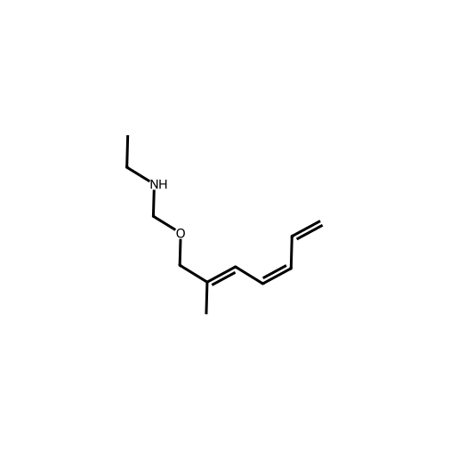 C=C/C=C\C=C(/C)COCNCC